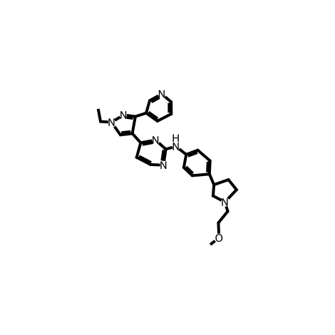 CCn1cc(-c2ccnc(Nc3ccc(C4CCN(CCOC)C4)cc3)n2)c(-c2cccnc2)n1